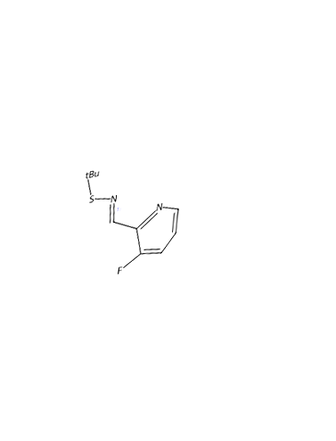 CC(C)(C)S/N=C/c1ncccc1F